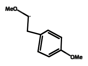 CO[CH]Cc1ccc(OC)cc1